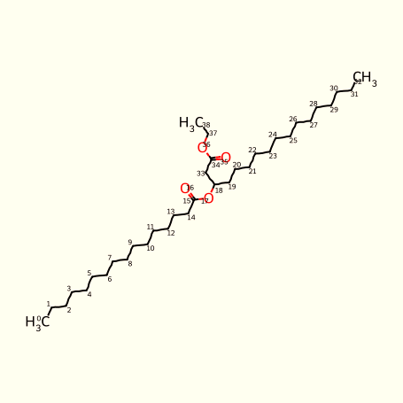 CCCCCCCCCCCCCCCC(=O)OC(CCCCCCCCCCCCCC)CC(=O)OCC